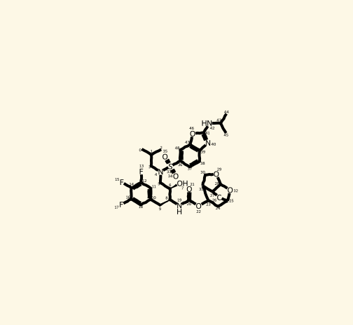 CC(C)CN(C[C@@H](O)[C@H](Cc1cc(F)c(F)c(F)c1)NC(=O)OC1CC2CC3C(OCC13)O2)S(=O)(=O)c1ccc2nc(NC(C)C)oc2c1